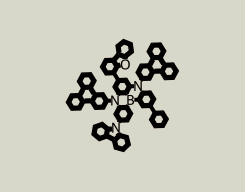 c1ccc(-c2ccc3c(c2)B2c4ccc(-n5c6ccccc6c6ccccc65)cc4N(c4ccc5c6ccccc6c6ccccc6c5c4)c4cc(-c5cccc6c5oc5ccccc56)cc(c42)N3c2ccc3c4ccccc4c4ccccc4c3c2)cc1